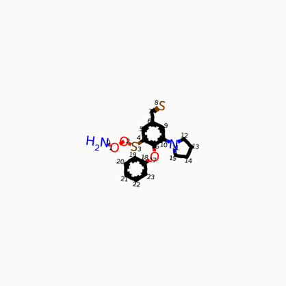 NOOSc1cc(C=S)cc(N2CCCC2)c1Oc1ccccc1